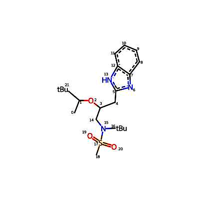 CC(OC(Cc1nc2ccccc2[nH]1)CN(C(C)(C)C)S(C)(=O)=O)C(C)(C)C